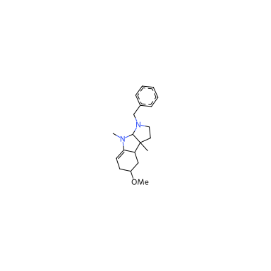 COC1CC=C2C(C1)C1(C)CCN(Cc3ccccc3)C1N2C